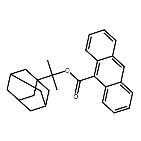 CC(C)(OC(=O)c1c2ccccc2cc2ccccc12)C12CC3CC(CC(C3)C1)C2